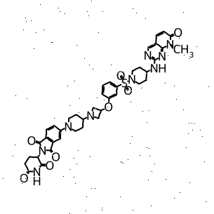 Cn1c(=O)ccc2cnc(NC3CCN(S(=O)(=O)c4cccc(OC5CN(C6CCN(c7ccc8c(c7)C(=O)N(C7CCC(=O)NC7=O)C8=O)CC6)C5)c4)CC3)nc21